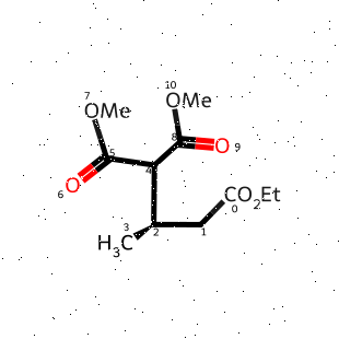 CCOC(=O)C[C@@H](C)C(C(=O)OC)C(=O)OC